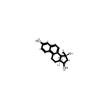 C[C@]12CCc3c(ccc4cc(O)ccc34)[C@]13C[C@@H]3CC2O